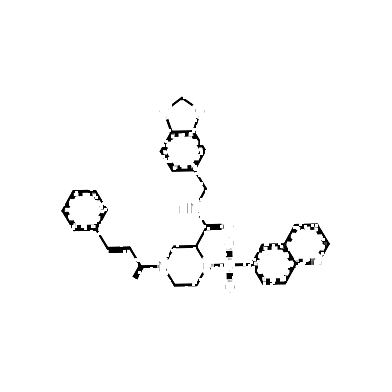 O=C(NCc1ccc2c(c1)OCO2)C1CN(C(=O)/C=C/c2ccccc2)CCN1S(=O)(=O)c1ccc2ncccc2c1